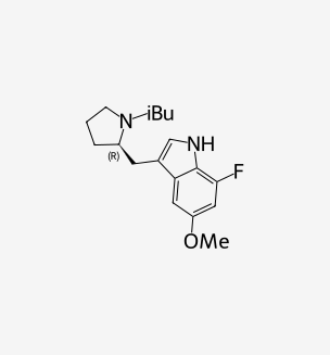 CCC(C)N1CCC[C@@H]1Cc1c[nH]c2c(F)cc(OC)cc12